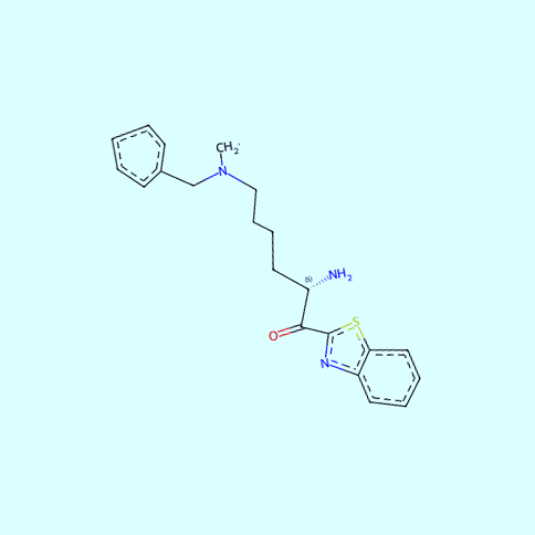 [CH2]N(CCCC[C@H](N)C(=O)c1nc2ccccc2s1)Cc1ccccc1